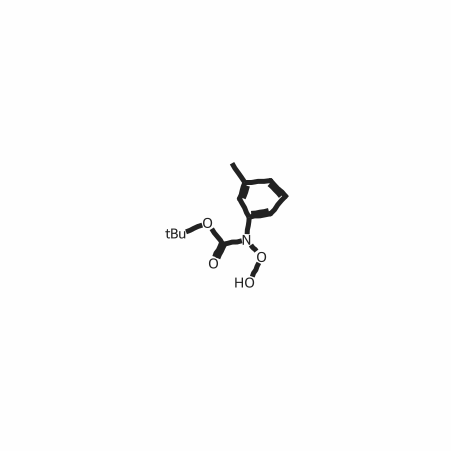 Cc1cccc(N(OO)C(=O)OC(C)(C)C)c1